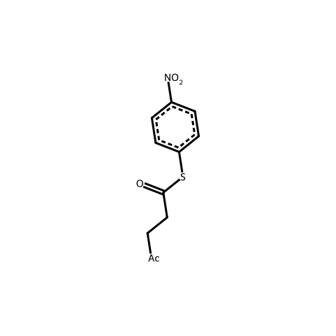 CC(=O)CCC(=O)Sc1ccc([N+](=O)[O-])cc1